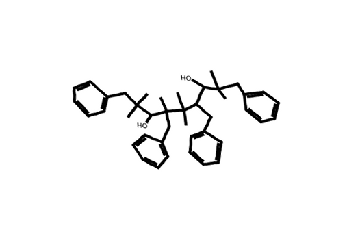 CC(C)(Cc1ccccc1)C(O)C(Cc1ccccc1)C(C)(C)C(C)(Cc1ccccc1)C(O)C(C)(C)Cc1ccccc1